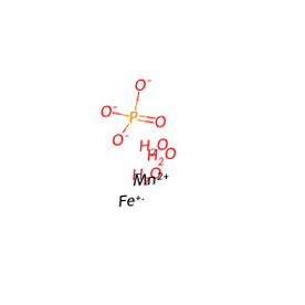 O.O.O.O=P([O-])([O-])[O-].[Fe+].[Mn+2]